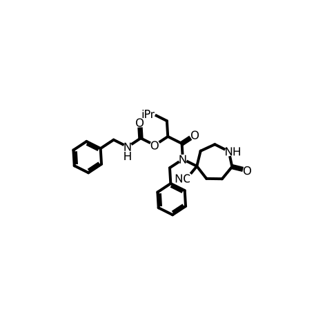 CC(C)CC(OC(=O)NCc1ccccc1)C(=O)N(Cc1ccccc1)C1(C#N)CCNC(=O)CC1